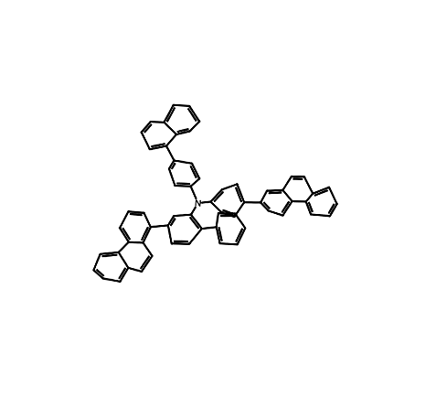 c1ccc(-c2ccc(-c3cccc4c3ccc3ccccc34)cc2N(c2ccc(-c3ccc4c(ccc5ccccc54)c3)cc2)c2ccc(-c3cccc4ccccc34)cc2)cc1